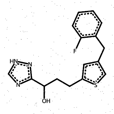 OC(CCc1cc(Cc2ccccc2F)cs1)c1nc[nH]n1